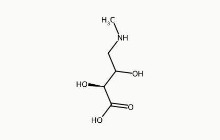 CNCC(O)[C@H](O)C(=O)O